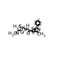 COCC(=O)N(C)CCNC(=O)c1cc2c(C)nn(-c3ccccc3)c2s1